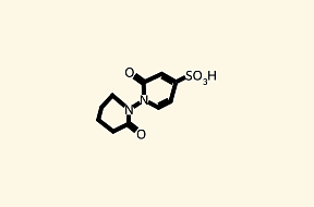 O=C1CCCCN1n1ccc(S(=O)(=O)O)cc1=O